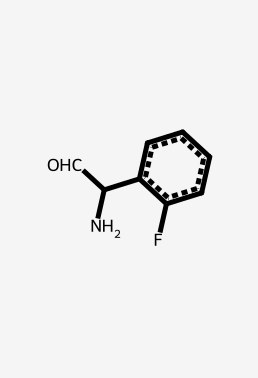 NC(C=O)c1ccccc1F